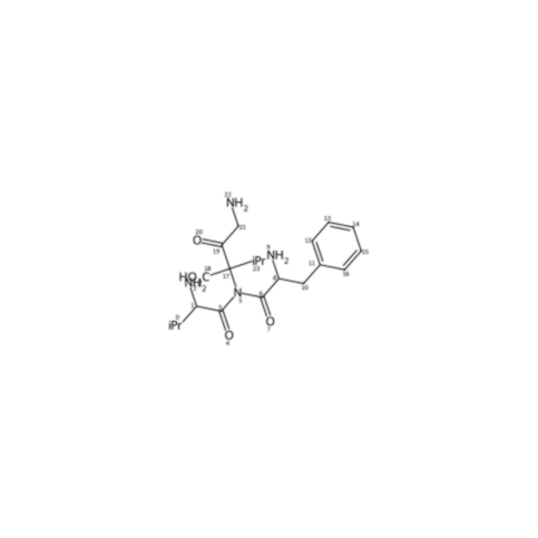 CC(C)C(N)C(=O)N(C(=O)C(N)Cc1ccccc1)C(C(=O)O)(C(=O)CN)C(C)C